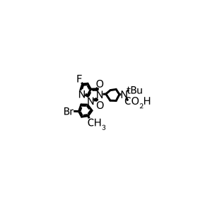 Cc1cc(Br)cc(-n2c(=O)n(C3CCC(N(C(=O)O)C(C)(C)C)CC3)c(=O)c3cc(F)cnc32)c1